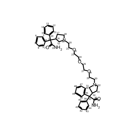 NC(=O)C(c1ccccc1)(c1ccccc1)C1CCN(CCOCCOCCOCCN2CCC(C(C(N)=O)(c3ccccc3)c3ccccc3)C2)C1